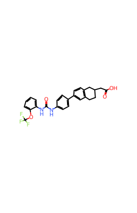 O=C(O)CC1CCc2cc(-c3ccc(NC(=O)Nc4ccccc4OC(F)(F)F)cc3)ccc2C1